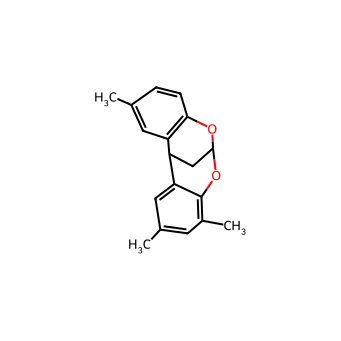 Cc1ccc2c(c1)C1CC(O2)Oc2c(C)cc(C)cc21